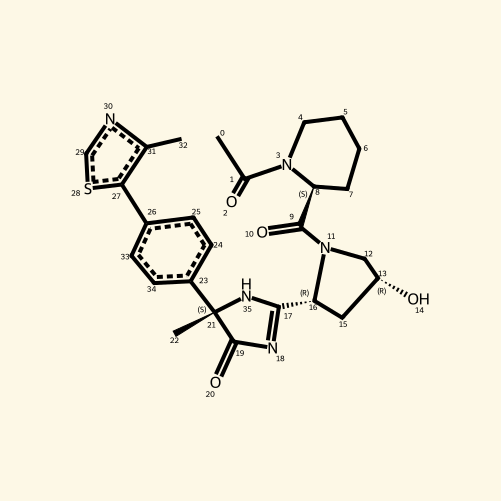 CC(=O)N1CCCC[C@H]1C(=O)N1C[C@H](O)C[C@@H]1C1=NC(=O)[C@](C)(c2ccc(-c3scnc3C)cc2)N1